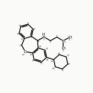 CCN(CC)CCNC1c2ccccc2COc2ccc(C3CCCCC3)cc21